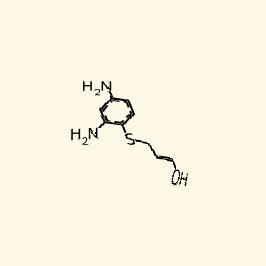 Nc1ccc(SCC=CO)c(N)c1